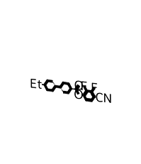 CC[C@H]1CC[C@H]([C@H]2CC[C@H](C(=O)Oc3ccc(C#N)c(F)c3F)CC2)CC1